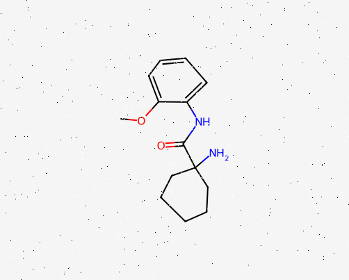 COc1ccccc1NC(=O)C1(N)CCCCC1